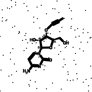 CC#CO[C@H]1[C@@H](O)[C@H](n2ccc(N)nc2=O)O[C@@H]1CO